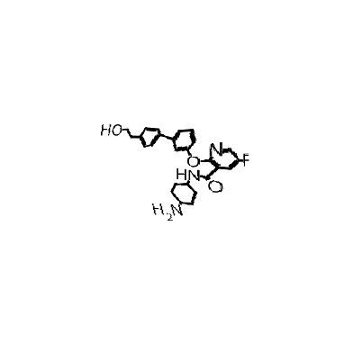 NC1CCC(NC(=O)c2cc(F)cnc2Oc2cccc(-c3ccc(CCO)cc3)c2)CC1